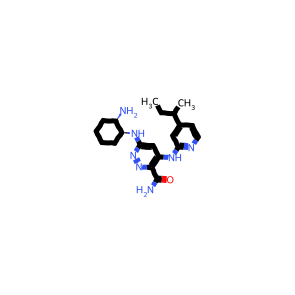 CCC(C)c1ccnc(Nc2cc(N[C@@H]3CCCC[C@@H]3N)nnc2C(N)=O)c1